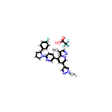 Cn1cc(-c2cc(-c3ccc(N4CCCC4c4ccc(F)cc4)nc3)c3c(C#N)cnn3c2)cn1.O=C(O)C(F)(F)F